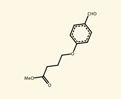 COC(=O)CCCOc1ccc(C=O)cc1